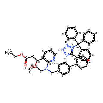 CCCN(Cc1ccc(-c2ccccc2-c2nnnn2C(c2ccccc2)(c2ccccc2)c2ccccc2)cc1)c1ncccc1C(O)CC(=O)OCC